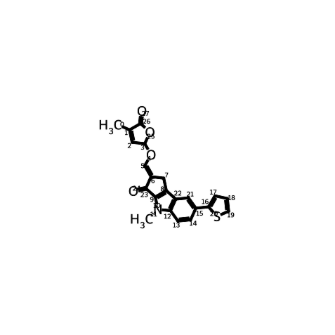 CC1=CC(OC=C2Cc3c(n(C)c4ccc(-c5cccs5)cc34)C2=O)OC1=O